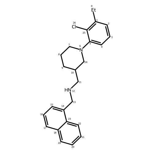 CCc1cccc(N2CCCC(CNCc3cccc4ccccc34)C2)c1Cl